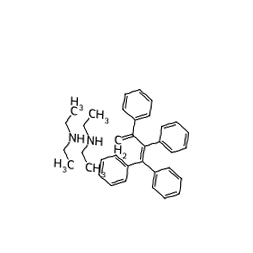 C=C(C(=C(c1ccccc1)c1ccccc1)c1ccccc1)c1ccccc1.CCNCC.CCNCC